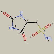 NS(=O)(=O)CC1NC(=O)NC1=O